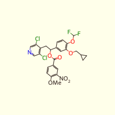 COc1ccc(C(=O)OC(Cc2c(Cl)cncc2Cl)c2ccc(OC(F)F)c(OCC3CC3)c2)cc1[N+](=O)[O-]